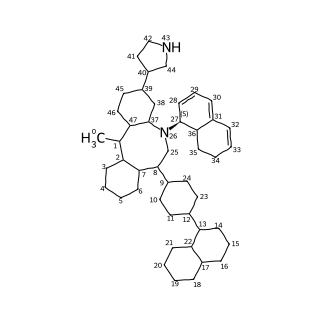 CC1C2CCCCC2C(C2CCC(C3CCCC4CCCCC43)CC2)CN([C@H]2C=CC=C3C=CCCC32)C2CC(C3CCNC3)CCC12